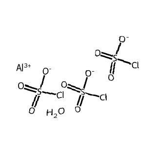 O.O=S(=O)([O-])Cl.O=S(=O)([O-])Cl.O=S(=O)([O-])Cl.[Al+3]